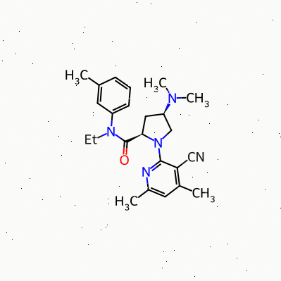 CCN(C(=O)[C@H]1C[C@@H](N(C)C)CN1c1nc(C)cc(C)c1C#N)c1cccc(C)c1